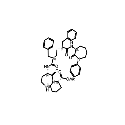 COC(=O)[C@@H]1CCC[C@@H]2SCC[C@H](NC(=O)[C@H](CC[C@H](Cc3ccccc3)C(=O)N[C@H]3CCCCN(c4ccccc4)C3=O)Cc3ccccc3)C(=O)N21